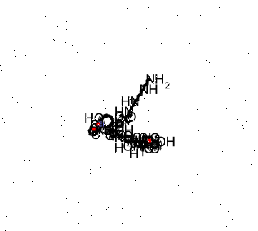 CCN(CC(=O)NCCCNCCCCNCCCN)[C@H]1CO[C@@H](O[C@H]2[C@H](O[C@H]3C#CC=CC#C[C@]4(O)CC(=O)C(NC(=O)OC)=C3/C4=C\CSSC(C)C)O[C@H](C)[C@@H](NO[C@H]3C[C@H](O)[C@H]([SH]=C(O)c4c(C)c(I)c(O[C@@H]5O[C@@H](C)[C@H](O)[C@@H](OC)[C@H]5O)c(OC)c4OC)[C@@H](C)O3)[C@@H]2O)C[C@@H]1OC